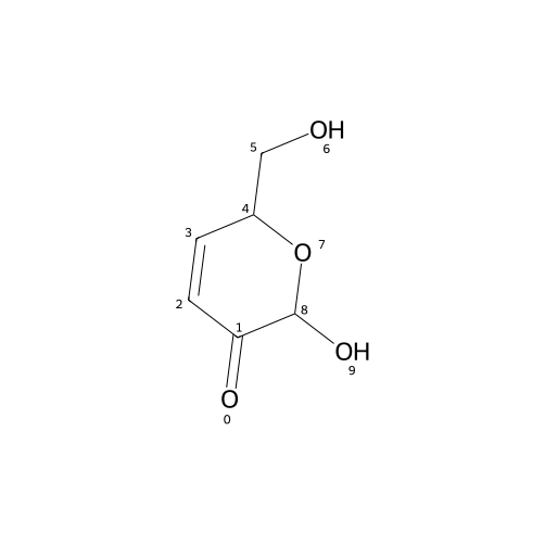 O=C1C=CC(CO)OC1O